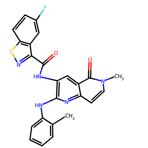 Cc1ccccc1Nc1nc2ccn(C)c(=O)c2cc1NC(=O)c1nsc2ccc(F)cc12